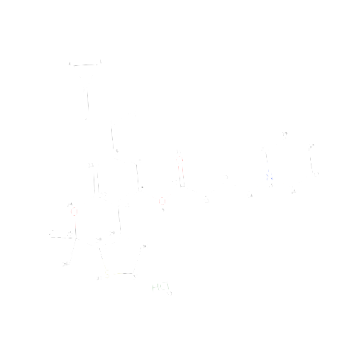 CC(CC1CC1)c1cc(OC(=O)CCCN2CCCCC2)c2c(c1)OC(C)(C)C1=C2CCS1.Cl